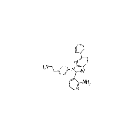 NCCc1ccc(-n2c(-c3cccnc3N)nc3ccc(-c4ccccc4)nc32)cc1